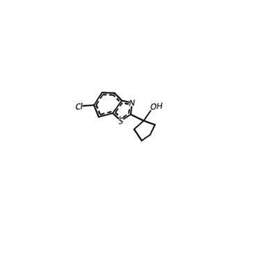 OC1(c2nc3ccc(Cl)cc3s2)CCCC1